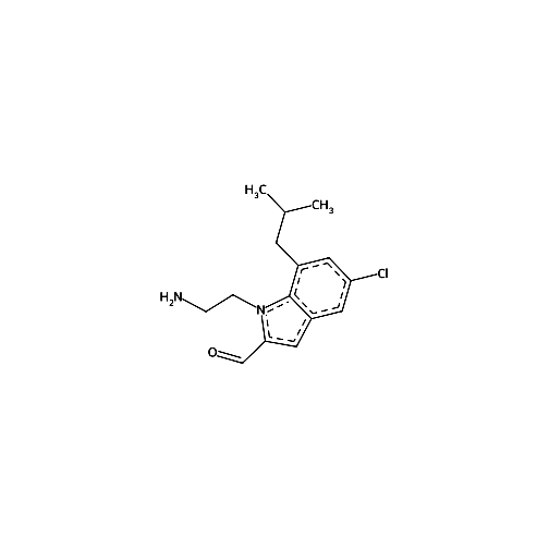 CC(C)Cc1cc(Cl)cc2cc(C=O)n(CCN)c12